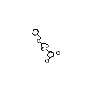 Clc1cc(Cl)cc(C2OCC(OCc3ccccc3)CO2)c1